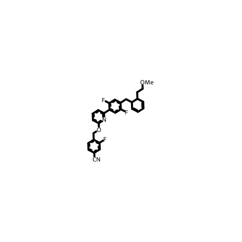 COCCC1C=CC=CC1Cc1cc(F)c(-c2cccc(OCc3ccc(C#N)cc3F)n2)cc1F